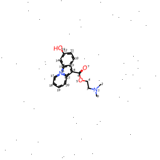 CN(C)CCOC(=O)c1c2ccc(O)cc2n2ccccc12